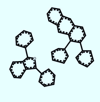 c1ccc(-c2ccc3cc4ccccc4cc3c2-c2ccccc2)cc1.c1ccc(-c2oc(-c3ccccc3)c3ccccc23)cc1